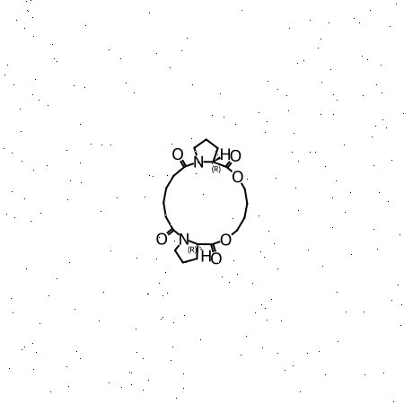 O=C1OCCCCOC(=O)[C@H]2CCCN2C(=O)CCCCC(=O)N2CCC[C@H]12